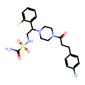 NC(=O)S(=O)(=O)NCC(c1ccccc1F)N1CCN(C(=O)[CH]Cc2ccc(Cl)cc2)CC1